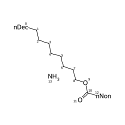 CCCCCCCCCCCCCCCCCCOC(=O)CCCCCCCCC.N